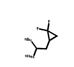 CCCCCCC(CCCC)CC1CC1(F)F